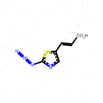 [N-]=[N+]=Nc1ncc(C=CC(=O)O)s1